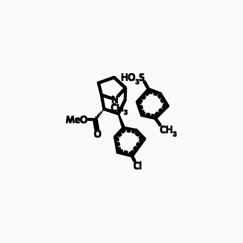 COC(=O)[C@@H]1C2CCC(C[C@H]1c1ccc(Cl)cc1)N2C.Cc1ccc(S(=O)(=O)O)cc1